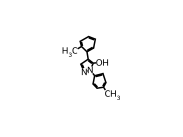 Cc1ccc(-n2ncc(-c3ccccc3C)c2O)cc1